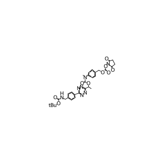 CC(OC(=O)N(C)c1ccc(COC(=O)ON2C(=O)CCC2=O)cc1)c1nnc(-c2ccc(CNC(=O)OC(C)(C)C)cc2)nn1